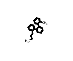 CCC[CH]c1ccccc1-c1ccccc1-c1ccccc1C